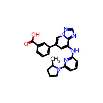 CC1CCCN1c1cccc(Nc2cc(-c3cccc(C(=O)O)c3)cn3ncnc23)n1